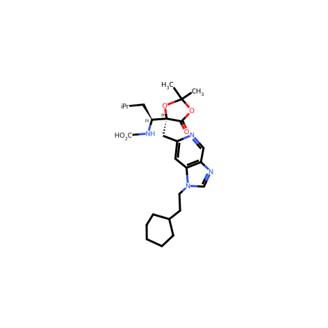 CC(C)C[C@H](NC(=O)O)[C@@]1(Cc2cc3c(cn2)ncn3CCC2CCCCC2)OC(C)(C)OC1=O